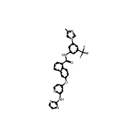 Cc1cn(-c2cc(NC(=O)c3cccc4cc(Oc5ccnc(Nc6nccs6)c5)ccc34)cc(C(F)(F)F)c2)cn1